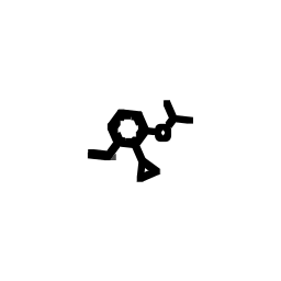 C=[C]c1cccc(OC(C)C)c1C1CC1